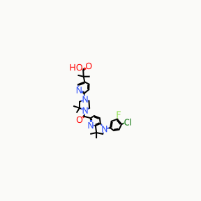 CC1(C)CN(c2ccc(Cl)c(F)c2)c2ccc(C(=O)N3CCN(c4ccc(C(C)(C)C(=O)O)cn4)CC3(C)C)nc21